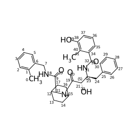 Cc1ccccc1CNC(=O)C1C2CCC(CC2)N1C(=O)[C@@H](O)[C@H](Cc1ccccc1)NC(=O)c1cccc(O)c1C